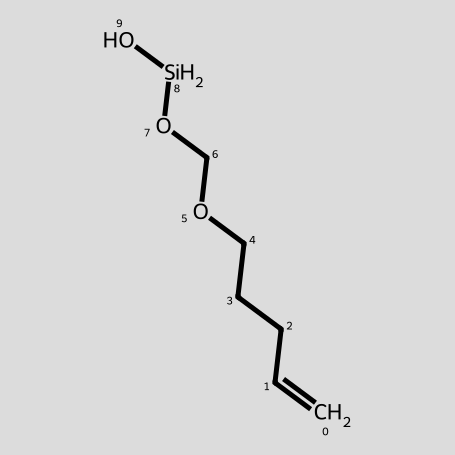 C=CCCCOCO[SiH2]O